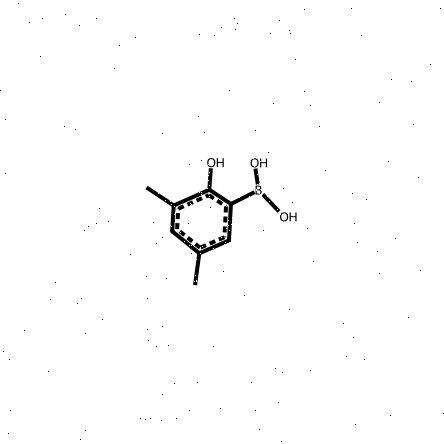 Cc1cc(C)c(O)c(B(O)O)c1